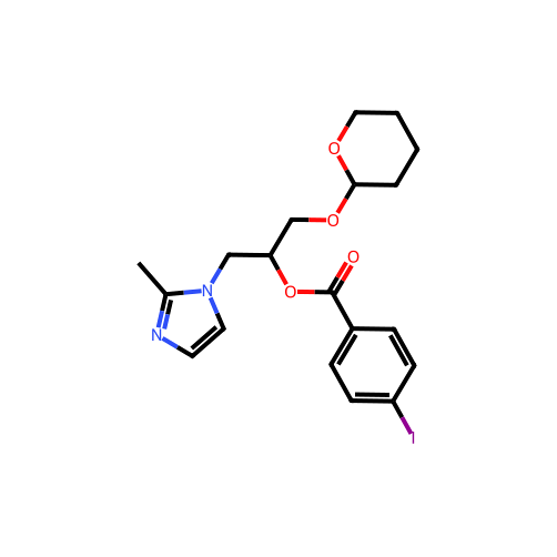 Cc1nccn1CC(COC1CCCCO1)OC(=O)c1ccc(I)cc1